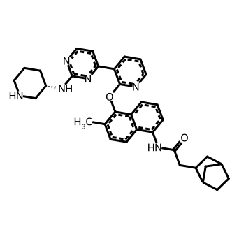 Cc1ccc2c(NC(=O)CC3CC4CCC3C4)cccc2c1Oc1ncccc1-c1ccnc(N[C@H]2CCCNC2)n1